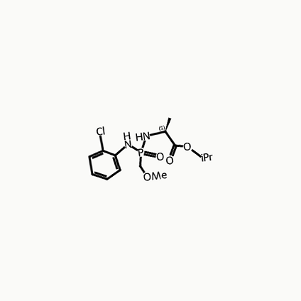 COCP(=O)(Nc1ccccc1Cl)N[C@@H](C)C(=O)OC(C)C